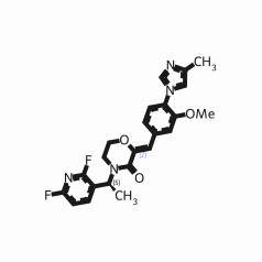 COc1cc(/C=C2\OCCN([C@@H](C)c3ccc(F)nc3F)C2=O)ccc1-n1cnc(C)c1